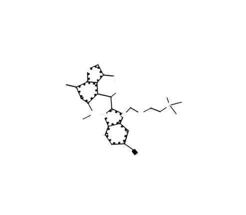 COc1cc(C)c2[nH]cc(Cl)c2c1C(O)c1nc2ccc(C#N)cc2n1COCC[Si](C)(C)C